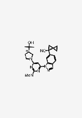 CNc1nc(N2CC[C@@H](C(C)(C)O)C2)cc(-n2ncc3ccc(C4(C#N)CC45CC5)cc32)n1